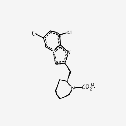 O=C(O)N1CCCC[C@H]1Cc1cn2cc(Cl)cc(Cl)c2n1